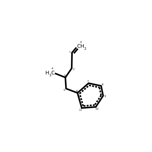 C=CCC(C)Cc1[c]cccc1